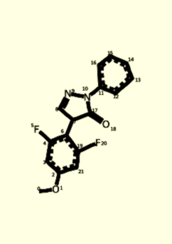 COc1cc(F)c(C2C=NN(c3ccccc3)C2=O)c(F)c1